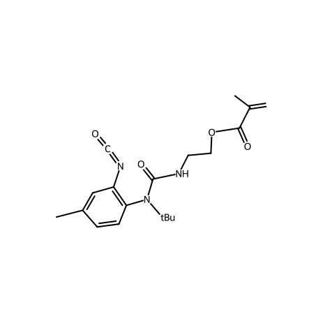 C=C(C)C(=O)OCCNC(=O)N(c1ccc(C)cc1N=C=O)C(C)(C)C